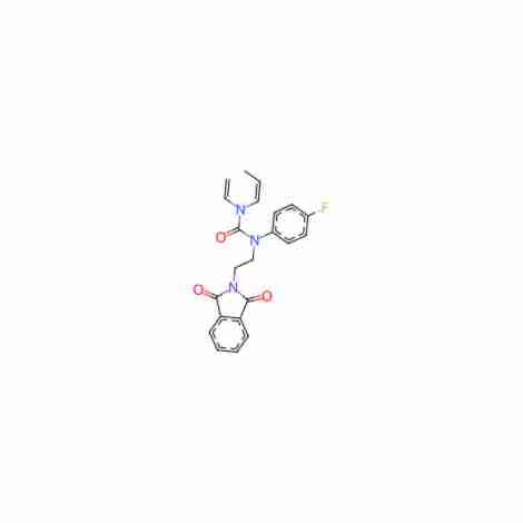 C=CN(/C=C\C)C(=O)N(CCN1C(=O)c2ccccc2C1=O)c1ccc(F)cc1